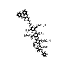 COC(=O)C1O[C@@H](O[C@@H]2C(COS(=O)(=O)O)O[C@H](OCCCCCN(Cc3ccccc3)C(=O)OCc3ccccc3)C(N)[C@H]2C)C(OC(C)=O)[C@@H](C)[C@@H]1O[C@H]1OC(COS(=O)(=O)O)[C@@H](O[C@@H]2OC(C)[C@@H](O)[C@@H](OCc3ccccc3)C2OC(C)=O)[C@H](C)C1N=[N+]=[N-]